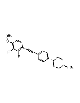 CCCCOc1ccc(C#Cc2ccc([C@H]3CC[C@H](CCCC)CC3)cc2)c(F)c1F